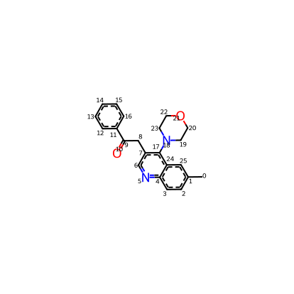 Cc1ccc2ncc(CC(=O)c3ccccc3)c(N3CCOCC3)c2c1